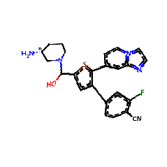 N#Cc1ccc(-c2cc(C(O)N3CCC[C@@H](N)C3)sc2-c2ccn3ccnc3c2)cc1F